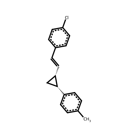 Cc1ccc([C@@H]2C[C@@H]2/C=C/c2ccc(Cl)cc2)cc1